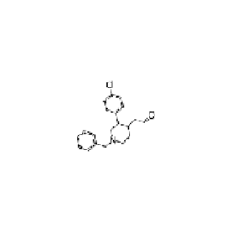 O=CCC1CCN(Cc2ccccc2)CC1c1ccc(Cl)cc1